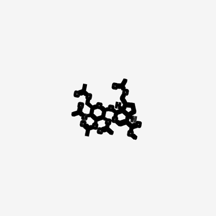 COC(=O)C1=CO[C@@H](O[C@@H]2O[C@H](COC(C)=O)[C@@H](OC(C)=O)[C@H](OC(C)=O)[C@H]2OC(C)=O)[C@@H]2C(COC(C)=O)=CC[C@H]12